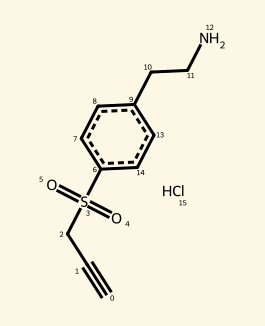 C#CCS(=O)(=O)c1ccc(CCN)cc1.Cl